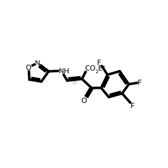 CCOC(=O)/C(=C\Nc1ccon1)C(=O)c1cc(F)c(F)cc1F